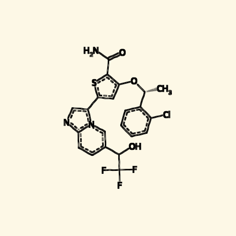 C[C@@H](Oc1cc(-c2cnc3ccc(C(O)C(F)(F)F)cn23)sc1C(N)=O)c1ccccc1Cl